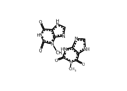 Cn1c(=O)[nH]c(=O)c2[nH]cnc21.Cn1c(=O)[nH]c2nc[nH]c2c1=O